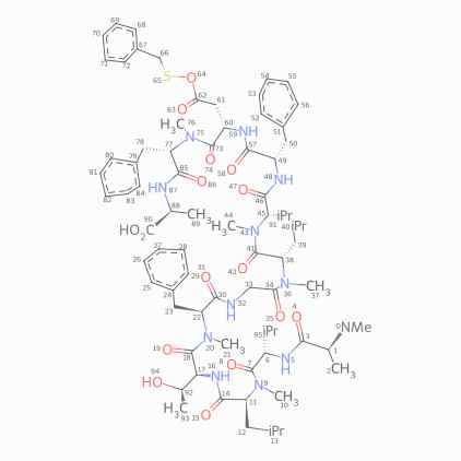 CN[C@@H](C)C(=O)N[C@H](C(=O)N(C)[C@@H](CC(C)C)C(=O)N[C@H](C(=O)N(C)[C@@H](Cc1ccccc1)C(=O)NCC(=O)N(C)[C@@H](CC(C)C)C(=O)N(C)[C@H](C(=O)N[C@@H](Cc1ccccc1)C(=O)N[C@@H](CC(=O)OSCc1ccccc1)C(=O)N(C)[C@@H](Cc1ccccc1)C(=O)N[C@@H](C)C(=O)O)C(C)C)[C@@H](C)O)C(C)C